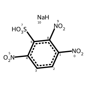 O=[N+]([O-])c1ccc([N+](=O)[O-])c(S(=O)(=O)O)c1[N+](=O)[O-].[NaH]